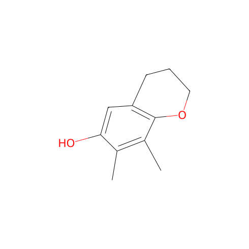 Cc1c(O)cc2c(c1C)OCCC2